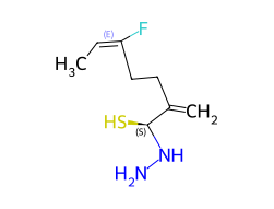 C=C(CC/C(F)=C\C)[C@H](S)NN